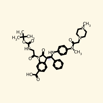 CN1CCN(CC(=O)N(C)c2ccc(N/C(=C3\C(=O)N(C(=O)CNC(=O)OC(C)(C)C)c4cc(C(=O)O)ccc43)c3ccccc3)cc2)CC1